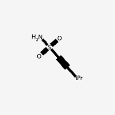 CC(C)C#CS(N)(=O)=O